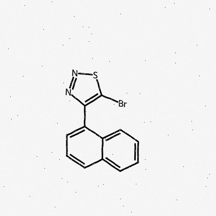 Brc1snnc1-c1cccc2ccccc12